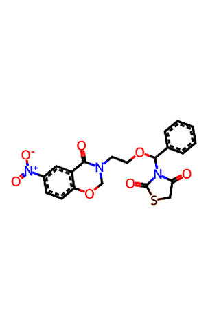 O=C1c2cc([N+](=O)[O-])ccc2OCN1CCOC(c1ccccc1)N1C(=O)CSC1=O